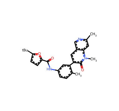 Cc1cc2c(cn1)cc(-c1cc(NC(=O)c3ccc(C(C)(C)C)o3)ccc1C)c(=O)n2C